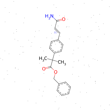 CC(C)(C(=O)OCc1ccccc1)c1ccc(/C=C/C(N)=O)cc1